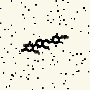 COc1ccc(/C=N/c2ccc(C3=NNC(=O)CC3C)cc2N)cc1